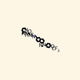 Cc1cccnc1NC(=O)NS/N=C/c1ccc2c(ccc3c2ncn3-c2ccc(OC(F)(F)F)cc2)c1